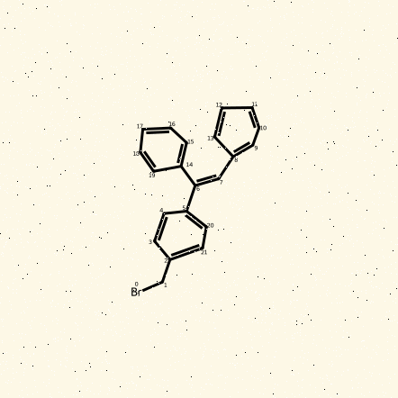 BrCc1ccc(C(=Cc2ccccc2)c2ccccc2)cc1